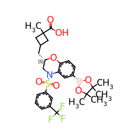 CC1(C(=O)O)CC(C[C@H]2CN(S(=O)(=O)c3cccc(C(F)(F)F)c3)c3cc(B4OC(C)(C)C(C)(C)O4)ccc3O2)C1